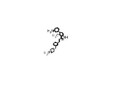 Cc1c(-c2cccc(N)c2)ccc2[nH]nc(C=Cc3cccc(CN4CCN(C)CC4)c3)c12